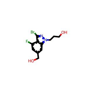 OCCCn1nc(Br)c2c(F)cc(CO)cc21